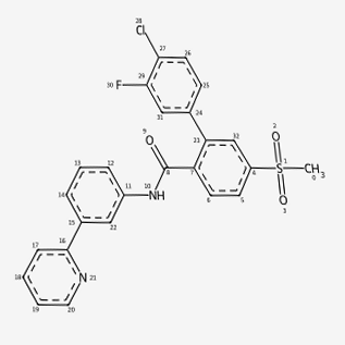 CS(=O)(=O)c1ccc(C(=O)Nc2cccc(-c3ccccn3)c2)c(-c2ccc(Cl)c(F)c2)c1